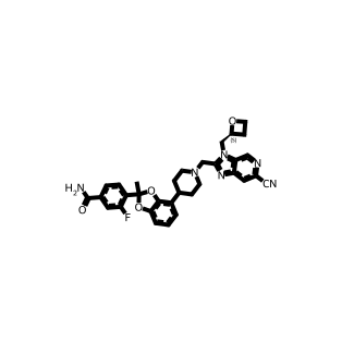 CC1(c2ccc(C(N)=O)cc2F)Oc2cccc(C3CCN(Cc4nc5cc(C#N)ncc5n4C[C@@H]4CCO4)CC3)c2O1